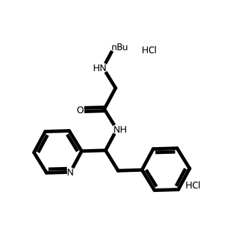 CCCCNCC(=O)NC(Cc1ccccc1)c1ccccn1.Cl.Cl